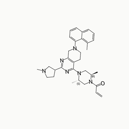 C=CC(=O)N1C[C@H](C)N(c2nc(C3CCN(C)C3)nc3c2CCN(c2cccc4cccc(C)c24)C3)C[C@H]1C